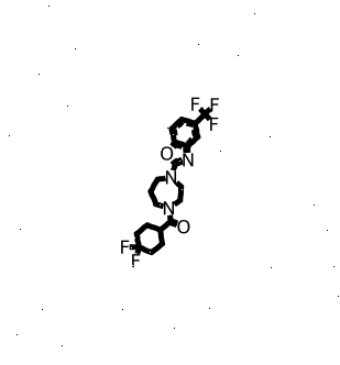 O=C(C1CCC(F)(F)CC1)N1CCCN(c2nc3cc(C(F)(F)F)ccc3o2)CC1